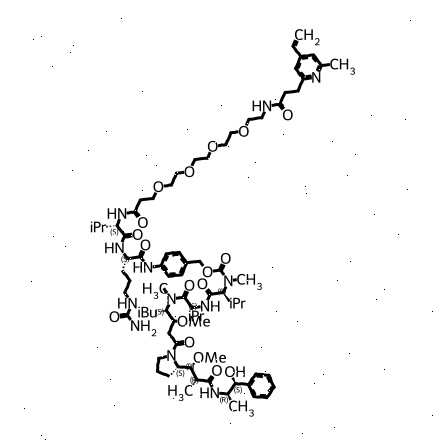 C=Cc1cc(C)nc(CCC(=O)NCCOCCOCCOCCOCCC(=O)N[C@H](C(=O)N[C@@H](CCCNC(N)=O)C(=O)Nc2ccc(COC(=O)N(C)[C@H](C(=O)N[C@H](C(=O)N(C)C(C(CC(=O)N3CCC[C@H]3[C@H](OC)[C@@H](C)C(=O)N[C@H](C)[C@@H](O)c3ccccc3)OC)[C@@H](C)CC)C(C)C)C(C)C)cc2)C(C)C)c1